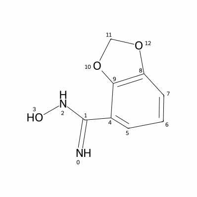 N=C(NO)c1cccc2c1OCO2